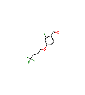 O=Cc1ccc(OCCCC(F)(F)F)cc1Cl